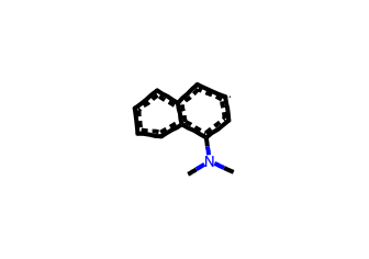 CN(C)c1c[c]cc2ccccc12